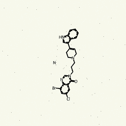 O=c1c2cc(Cl)cc(Br)c2ncn1CCCN1CC=C(c2c[nH]c3ccccc23)CC1.[N]